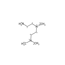 C=[N+](CCN)CCN(C)C